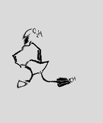 C#CCN1CC2=CN(C(=O)O)C=CN2C1=O